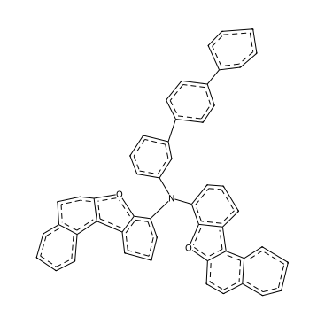 c1ccc(-c2ccc(-c3cccc(N(c4cccc5c4oc4ccc6ccccc6c45)c4cccc5c4oc4ccc6ccccc6c45)c3)cc2)cc1